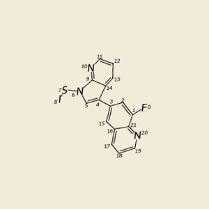 Fc1cc(-c2cn(SI)c3ncccc23)cc2cccnc12